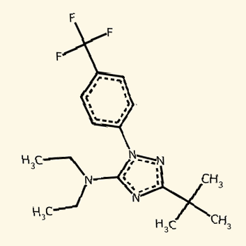 CCN(CC)c1nc(C(C)(C)C)nn1-c1[c]cc(C(F)(F)F)cc1